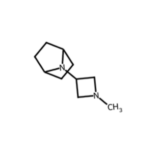 CN1CC(N2C3CCC2CC3)C1